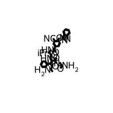 CC(N)C(=O)C(c1ccccc1)C(NC(=O)C(NC(=O)c1ccc(On2nnc3ccccc32)c(C#N)c1)C(C)C)C(=O)NCC(N)=O